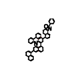 c1ccc(-c2nc3c(ccc4c(-c5ccc(N(c6cccc(-c7cccc8ccccc78)c6)c6ccccc6-c6ccccc6)c(-c6ccccc6)c5)cccc43)o2)cc1